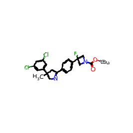 CC(C)(C)OC(=O)N1CC(F)(c2ccc(C3=NCC(C)(c4cc(Cl)cc(Cl)c4)C3)cc2)C1